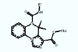 CCNC(=O)N1c2ccccc2-n2cnc(C(=O)OC(C)(C)C)c2C1(C)C